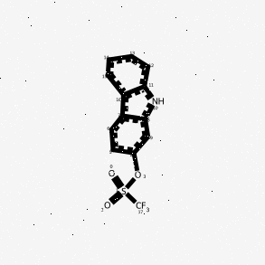 O=S(=O)(Oc1ccc2c(c1)[nH]c1ccccc12)C(F)(F)F